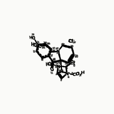 CCC1N(C(=O)O)C2=C[N+]1(C(=O)O)N2C1(C(=O)c2ccc(O)cc2)C=CC=CN1CCC(=O)O.[Cl-]